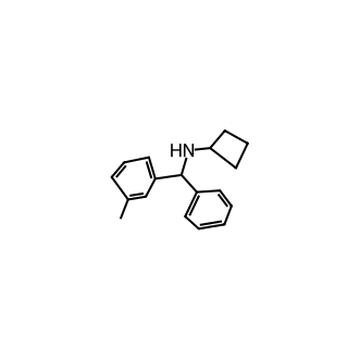 Cc1cccc(C(NC2CCC2)c2ccccc2)c1